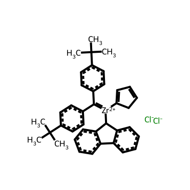 CC(C)(C)c1ccc([C](c2ccc(C(C)(C)C)cc2)=[Zr+2]([C]2=CC=CC2)[CH]2c3ccccc3-c3ccccc32)cc1.[Cl-].[Cl-]